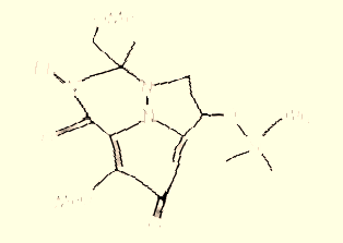 CCN1C(=O)c2c(OC)c(=O)cc3n2N(CC3O[Si](C)(C)C(C)(C)C)C1(C)COC